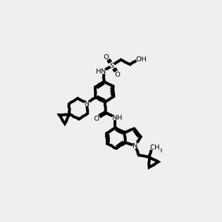 CC1(Cn2ccc3c(NC(=O)c4ccc(NS(=O)(=O)CCO)cc4N4CCC5(CC4)CC5)cccc32)CC1